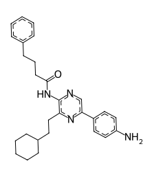 Nc1ccc(-c2cnc(NC(=O)CCCc3ccccc3)c(CCC3CCCCC3)n2)cc1